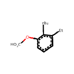 CCCCc1c(CC)cccc1OC(=O)O